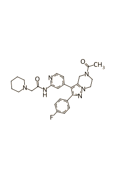 CC(=O)N1CCn2nc(-c3ccc(F)cc3)c(-c3ccnc(NC(=O)CN4CCCCC4)c3)c2C1